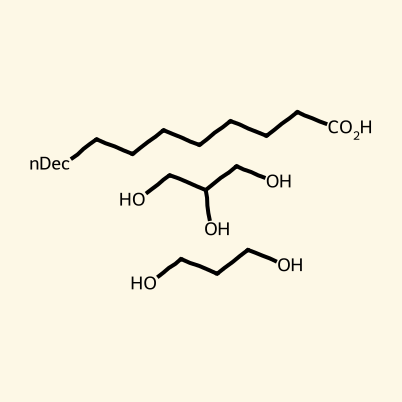 CCCCCCCCCCCCCCCCCC(=O)O.OCC(O)CO.OCCCO